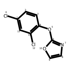 Clc1ccc(Oc2n[c]co2)c(Cl)c1